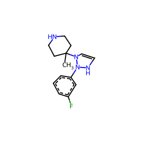 CC1(N2C=CNN2c2cccc(F)c2)CCNCC1